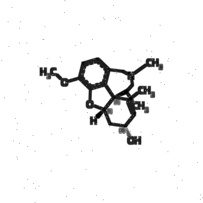 COc1ccc2c3c1O[C@H]1C[C@@H](O)C=C(C)[C@@]31C(C)CN(C)C2